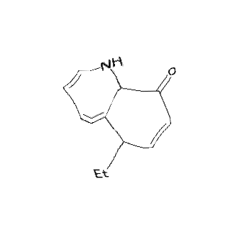 CCC1C=CC(=O)C2NC=CC=C12